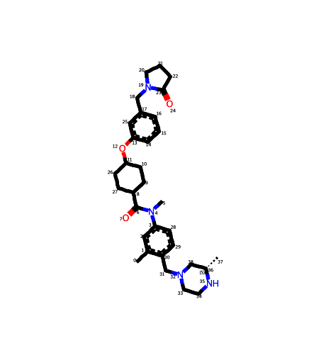 Cc1cc(N(C)C(=O)C2CCC(Oc3cccc(CN4CCCC4=O)c3)CC2)ccc1CN1CCN[C@@H](C)C1